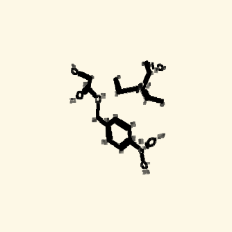 CCN(CC)CC.O.O=CC(=O)OCc1ccc([N+](=O)[O-])cc1